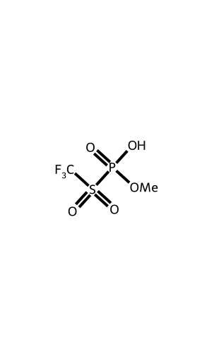 COP(=O)(O)S(=O)(=O)C(F)(F)F